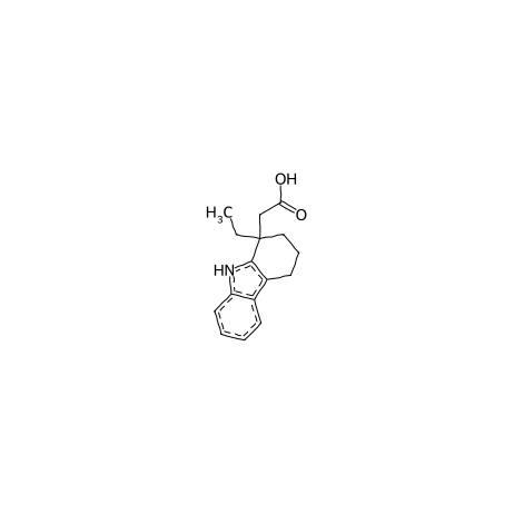 CCC1(CC(=O)O)CCCc2c1[nH]c1ccccc21